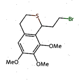 COc1cc2c(c(OC)c1OC)C(CCBr)SCC2